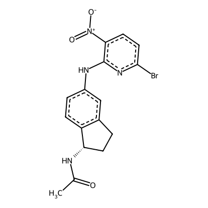 CC(=O)N[C@H]1CCc2cc(Nc3nc(Br)ccc3[N+](=O)[O-])ccc21